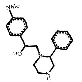 CNc1ccc(C(O)CN2CCNCC2c2ccccc2)cc1